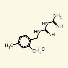 Cc1ccc(CNC(=N)NC(=N)N)c(C)c1.Cl